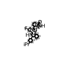 CC(C)c1ccc(C(NC(=O)C2CC(F)CN2C(=O)c2cccn3c(=O)[nH]nc23)c2ccccc2)cc1